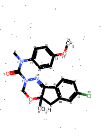 CN(C(=O)N1COC2(C(=O)O)Cc3cc(Cl)ccc3C2=N1)c1ccc(OC(F)(F)F)cc1